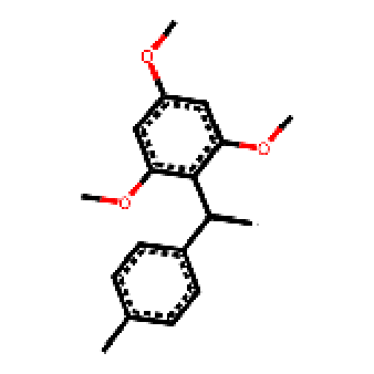 [CH2]C(c1ccc(C)cc1)c1c(OC)cc(OC)cc1OC